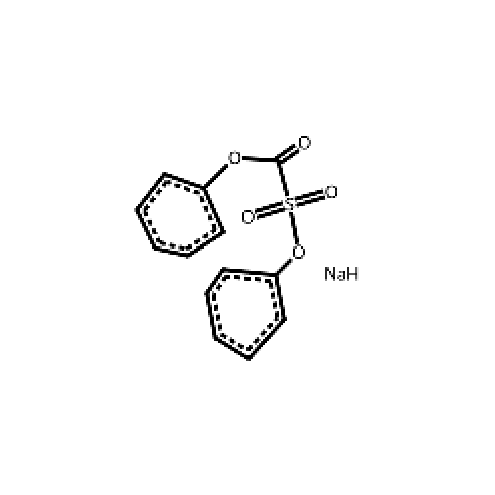 O=C(Oc1ccccc1)S(=O)(=O)Oc1ccccc1.[NaH]